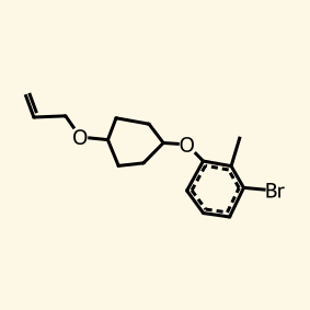 C=CCOC1CCC(Oc2cccc(Br)c2C)CC1